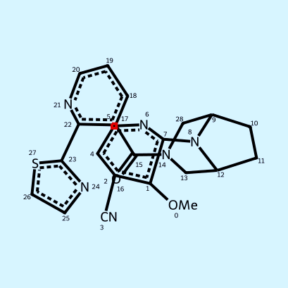 COc1c(C#N)ccnc1N1C2CCC1CN(C(=O)c1cccnc1-c1nccs1)C2